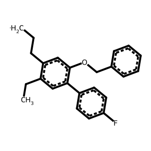 [CH2]CCc1cc(OCc2ccccc2)c(-c2ccc(F)cc2)cc1CC